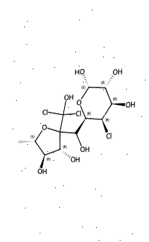 C[C@@H]1OC(C(O)[C@H]2O[C@H](O)[C@H](O)[C@@H](O)[C@H]2Cl)(C(O)(Cl)Cl)[C@H](O)[C@H]1O